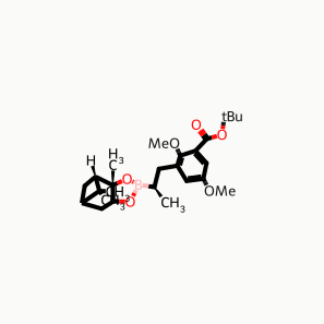 COc1cc(C[C@@H](C)B2OC3CC4C[C@@H](C4(C)C)[C@]3(C)O2)c(OC)c(C(=O)OC(C)(C)C)c1